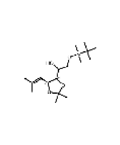 CC(C)=C[C@@H]1OC(C)(C)O[C@@H]1C(O)CO[Si](C)(C)C(C)(C)C